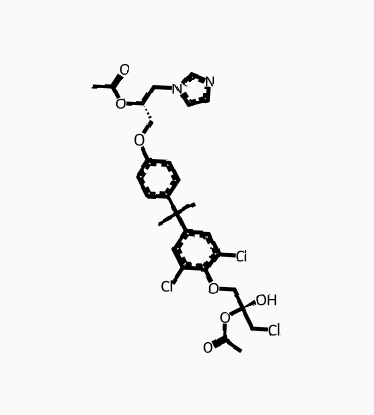 CC(=O)O[C@@H](COc1ccc(C(C)(C)c2cc(Cl)c(OC[C@](O)(CCl)OC(C)=O)c(Cl)c2)cc1)Cn1ccnc1